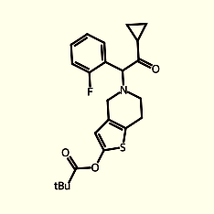 CC(C)(C)C(=O)Oc1cc2c(s1)CCN(C(C(=O)C1CC1)c1ccccc1F)C2